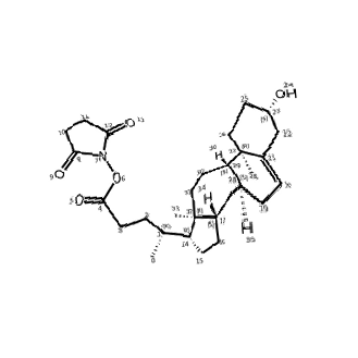 C[C@H](CCC(=O)ON1C(=O)CCC1=O)[C@H]1CC[C@H]2[C@@H]3CC=C4C[C@@H](O)CC[C@]4(C)[C@H]3CC[C@]12C